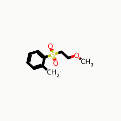 [CH2]c1ccccc1S(=O)(=O)CCOC